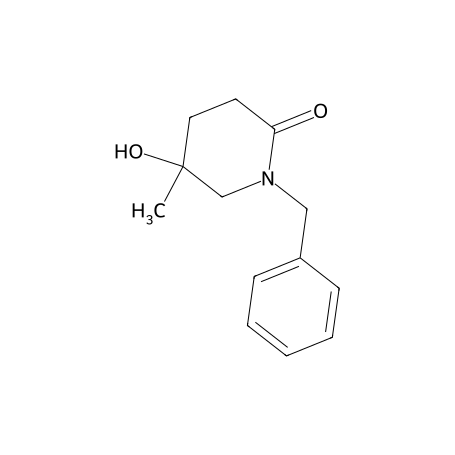 CC1(O)CCC(=O)N(Cc2ccccc2)C1